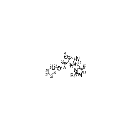 COc1cc2ncc(-c3nc(Br)ncc3F)n2nc1C1CC(OCc2ccccc2)C1